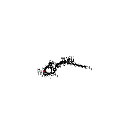 COCCOCCOCCOCCC(=O)NCCCC[C@H](NC(=O)[C@@H](N)C(C)C)C(=O)Nc1ccc(COC(=O)NCc2ccc([C@H]3O[C@@H]3[C@@H](C)[C@@H]3C/C=C/C(=O)N[C@H](Cc4ccc(OC)c(Cl)c4)C(=O)NCC(C)(C)C(=O)O[C@@H](CC(C)C)C(=O)O3)cc2)cc1